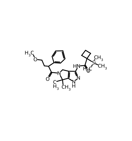 COCCC(C(=O)N1Cc2c(NC(=O)C3([Si](C)(C)C)CCC3)n[nH]c2C1(C)C)c1ccccc1